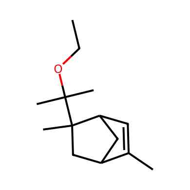 CCOC(C)(C)C1(C)CC2CC1C=C2C